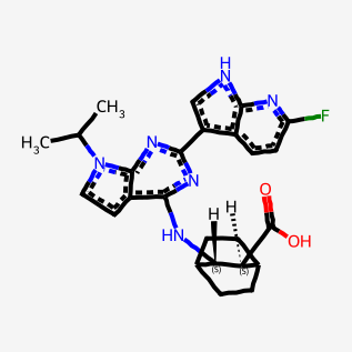 CC(C)n1ccc2c(N[C@H]3C4CCC(CC4)[C@@H]3C(=O)O)nc(-c3c[nH]c4nc(F)ccc34)nc21